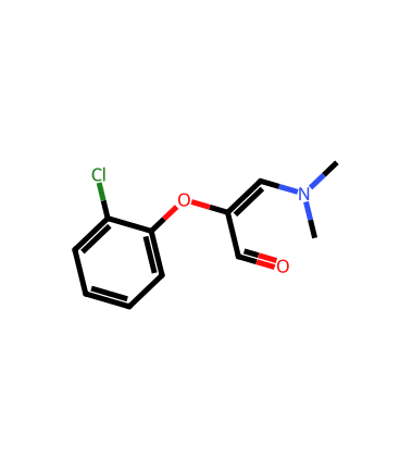 CN(C)/C=C(\C=O)Oc1ccccc1Cl